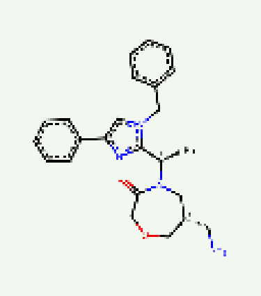 CC(C)(C)[C@H](c1nc(-c2ccccc2)cn1Cc1ccccc1)N1C[C@H](CN)COCC1=O